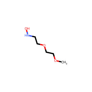 COCCOCCNO